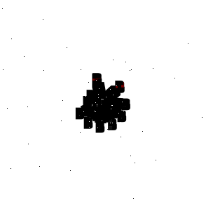 [B]#[Yb](#[B])(#[B])(#[B])(#[B])(#[B])(#[B])(#[B])(#[B])(#[B])(#[B])#[B]